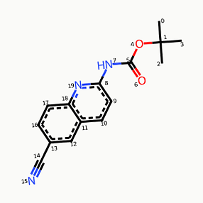 CC(C)(C)OC(=O)Nc1ccc2cc(C#N)ccc2n1